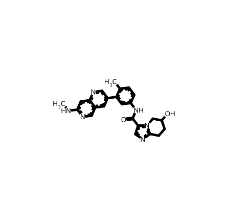 CNc1cc2ncc(-c3cc(NC(=O)c4cnc5n4CC(O)CC5)ccc3C)cc2cn1